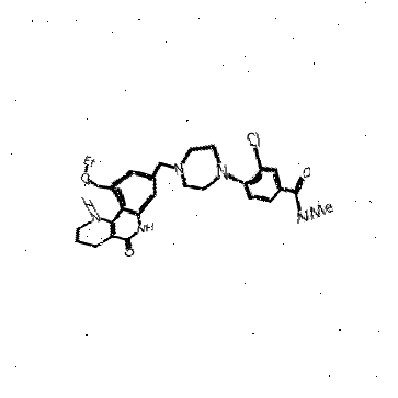 CCOc1cc(CN2CCN(c3ccc(C(=O)NC)cc3Cl)CC2)cc2[nH]c(=O)c3c(c12)NCCC3